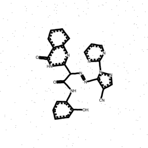 N#Cc1cnn(-c2ncccn2)c1N=NC(C(=O)Nc1ccccc1O)c1nc2ccccc2c(=O)[nH]1